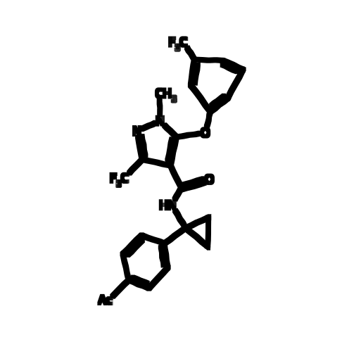 CC(=O)c1ccc(C2(NC(=O)c3c(C(F)(F)F)nn(C)c3Oc3cccc(C(F)(F)F)c3)CC2)cc1